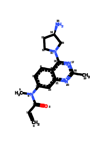 C=CC(=O)N(C)c1ccc2c(N3CC[C@@H](N)C3)nc(C)nc2c1